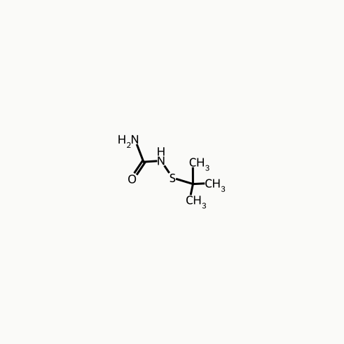 CC(C)(C)SNC(N)=O